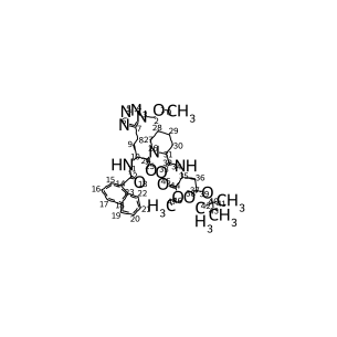 COCn1nnnc1CC[C@H](NC(=O)c1cccc2ccccc12)C(=O)N1CCCC[C@H]1C(=O)N[C@@H](CC(=O)OC(C)(C)C)C(=O)OC